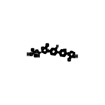 O=C1O[C@@H](COP(=O)(O)O)CN1c1ccc(-c2ccc(N3CCNC3=O)nc2)c(F)c1